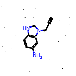 C#CCN1CNc2ccc(N)cc21